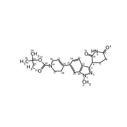 Cn1nc(C2CCC(=O)NC2=O)c2ccc(C3=CCN(C(=O)OC(C)(C)C)CC3)cc21